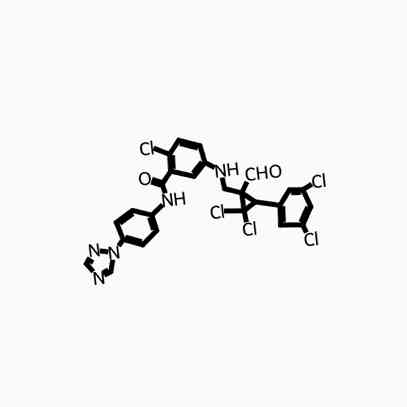 O=CC1(CNc2ccc(Cl)c(C(=O)Nc3ccc(-n4cncn4)cc3)c2)C(c2cc(Cl)cc(Cl)c2)C1(Cl)Cl